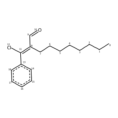 CCCCCCCC/C(C=O)=C(/Cl)c1ccccc1